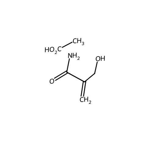 C=C(CO)C(N)=O.CC(=O)O